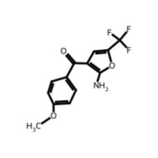 COc1ccc(C(=O)c2cc(C(F)(F)F)oc2N)cc1